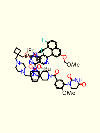 COCOc1cc(-c2ncc3c(N4CC5CCC(C4)N5C(=O)OC(C)(C)C)nc(OCC4(CN5CCN(CC6CCC7(CC6)CCN(C(=O)c6ccc(OC)c(N8CCC(=O)NC8=O)c6)CC7)CC5)CCC4)nc3c2F)c2c(C#C[Si](C(C)C)(C(C)C)C(C)C)c(F)ccc2c1